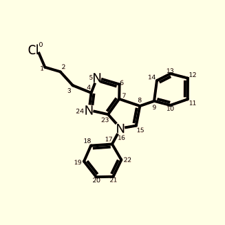 ClCCCc1ncc2c(-c3ccccc3)cn(-c3ccccc3)c2n1